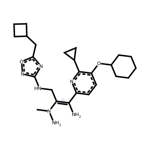 CN(N)/C(CNc1noc(CC2CCC2)n1)=C(\N)c1ccc(OC2CCCCC2)c(C2CC2)n1